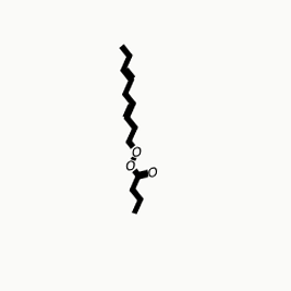 CCC=CCC=CCCOOC(=O)CCC